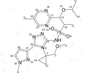 COCC1(n2c(NS(=O)(=O)C(C)C(OC(C)C)c3ncc(C)cn3)nnc2-c2ccn(C)n2)CC1